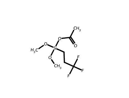 CO[Si](CCC(F)(F)F)(OC)OC(C)=O